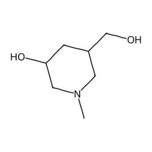 CN1CC(O)CC(CO)C1